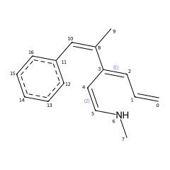 C=C/C=C(\C=C/NC)C(C)=Cc1ccccc1